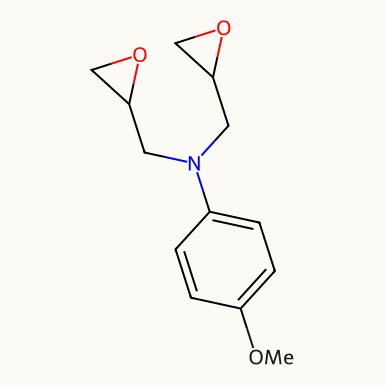 [CH2]Oc1ccc(N(CC2CO2)CC2CO2)cc1